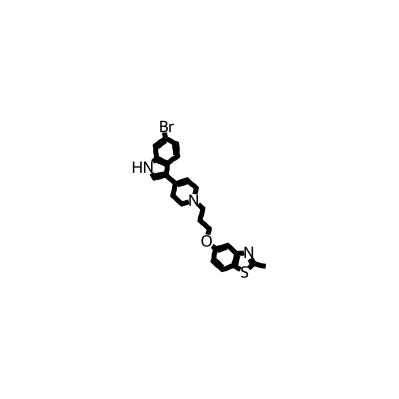 Cc1nc2cc(OCCCN3CC=C(c4c[nH]c5cc(Br)ccc45)CC3)ccc2s1